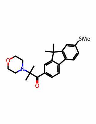 CSc1ccc2c(c1)C(C)(C)c1cc(C(=O)C(C)(C)N3CCOCC3)ccc1-2